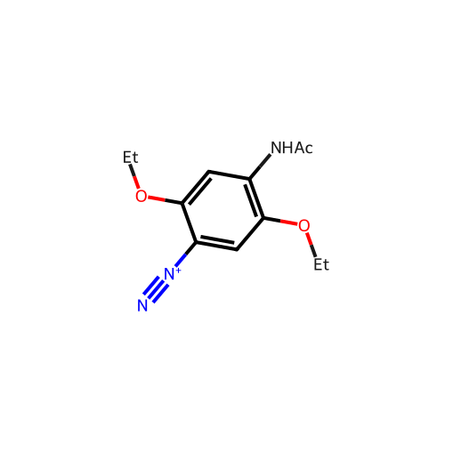 CCOc1cc(NC(C)=O)c(OCC)cc1[N+]#N